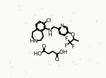 CC(Oc1ccc(CNc2c(Cl)ccc3c2CCNCC3)nc1)C(F)(F)F.O=C(O)CCC(=O)O